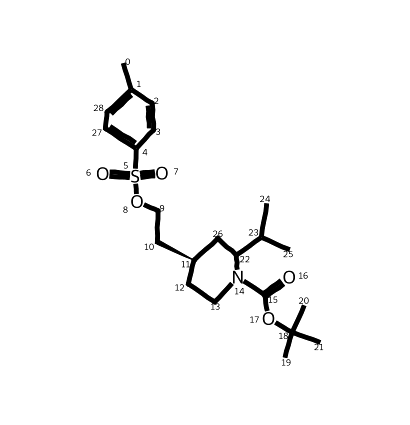 Cc1ccc(S(=O)(=O)OCC[C@@H]2CCN(C(=O)OC(C)(C)C)C(C(C)C)C2)cc1